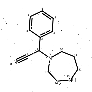 N#CC(c1ccccc1)N1CCCNCC1